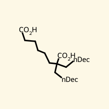 CCCCCCCCCCCC(CCCCCCCCCCC)(CCCCCC(=O)O)C(=O)O